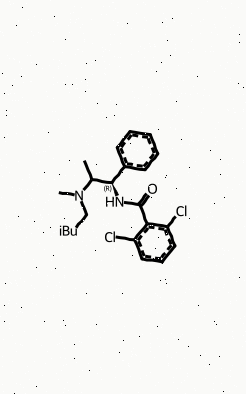 CCC(C)CN(C)C(C)[C@H](NC(=O)c1c(Cl)cccc1Cl)c1ccccc1